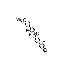 CCOc1ccc(-c2ccc(OC(=O)c3ccc(C4CCC(OC)CC4)c(F)c3F)cc2)c(F)c1